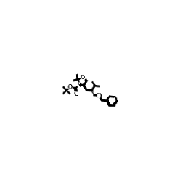 CC(C)[C@@H](COCc1ccccc1)CC1COC(C)(C)N1C(=O)OC(C)(C)C